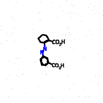 O=C(O)C1=C(/N=N/c2cccc(C(=O)O)c2)CCCC1